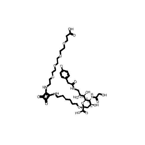 O=C(O)CCOCCOCCOCCOCCNc1c(NCCCCCCO[C@]2(C(=O)O)C[C@H](O)[C@@H](NC(=O)CO)[C@H]([C@H](O)[C@H](O)CNC(=O)Cc3ccc(Cl)cc3)O2)c(=O)c1=O